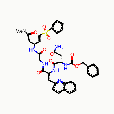 CNC(=O)CC(/C=C/S(=O)(=O)c1ccccc1)NC(=O)CNC(=O)C(Cc1ccc2ccccc2n1)NC(=O)[C@H](CC(N)=O)NC(=O)OCc1ccccc1